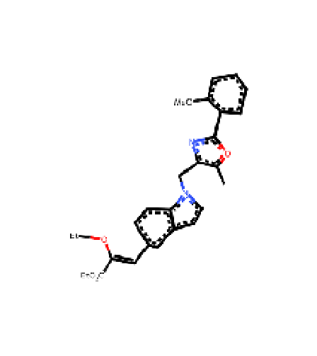 CCOC(=O)C(=Cc1ccc2c(ccn2Cc2nc(-c3ccccc3OC)oc2C)c1)OCC